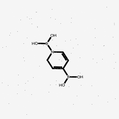 OB(O)C1=CCN(B(O)O)C=C1